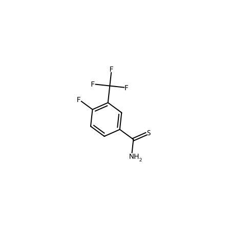 NC(=S)c1ccc(F)c(C(F)(F)F)c1